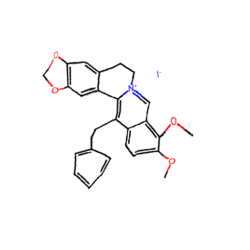 COc1ccc2c(Cc3ccccc3)c3[n+](cc2c1OC)CCc1cc2c(cc1-3)OCO2.[I-]